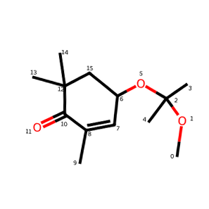 COC(C)(C)OC1C=C(C)C(=O)C(C)(C)C1